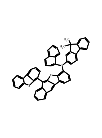 CC1(C)c2ccccc2-c2ccc(N(c3cccc4ccccc34)c3cccc4c3oc3c(-c5cccc6c5sc5ccccc56)c5ccccc5cc34)cc21